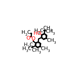 C=CC(=O)OCc1c(Cc2cc(C)cc(C(C)(C)C)c2O)cc(C)cc1C(C)(C)C